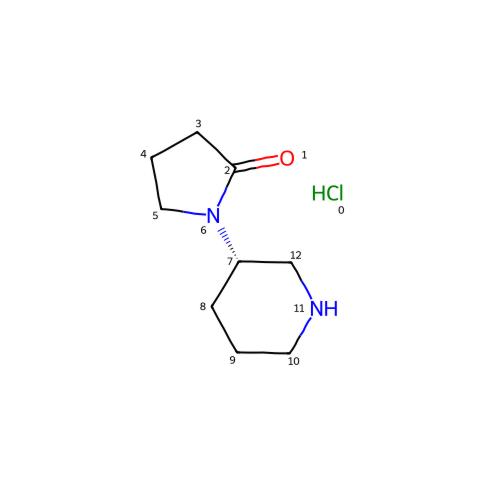 Cl.O=C1CCCN1[C@H]1CCCNC1